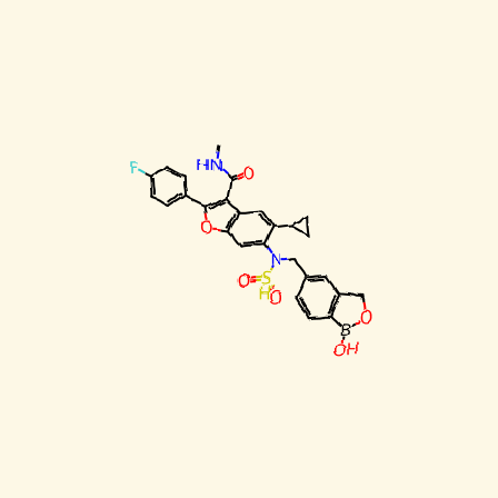 CNC(=O)c1c(-c2ccc(F)cc2)oc2cc(N(Cc3ccc4c(c3)COB4O)[SH](=O)=O)c(C3CC3)cc12